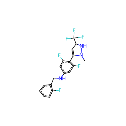 CN1NC(C(F)(F)F)C=C1c1c(F)cc(NCc2ccccc2F)cc1F